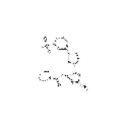 CS(=O)(=O)c1cccc(-c2ccc(-c3cc(C(F)(F)F)nn3CC(=O)N3CCCC3)s2)c1